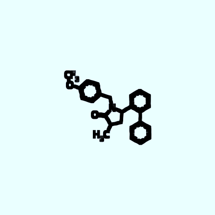 CC1CC(c2ccccc2-c2ccccc2)N(Cc2ccc(OC(F)(F)F)cc2)C1=O